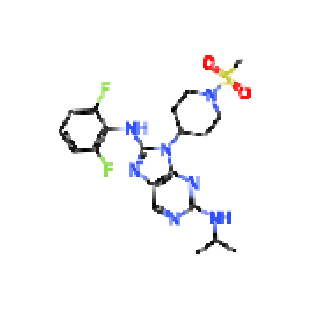 CC(C)Nc1ncc2nc(Nc3c(F)cccc3F)n(C3CCN(S(C)(=O)=O)CC3)c2n1